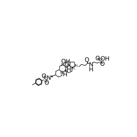 Cc1ccc(S(=O)(=O)[N+]#CC2CC[C@@]3(C)C(C2)C[C@H](O)[C@H]2[C@@H]4CC[C@H](CCCC(=O)NCCS(=O)(=O)O)[C@@]4(C)CC[C@@H]23)cc1